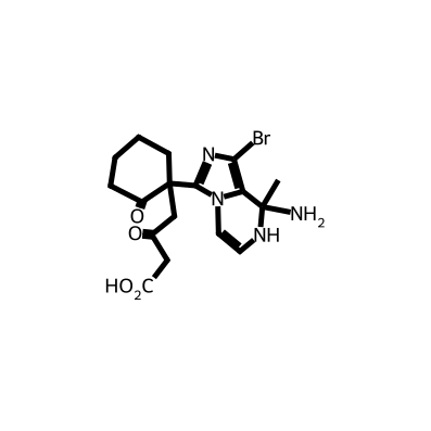 CC1(N)NC=Cn2c(C3(CC(=O)CC(=O)O)CCCCC3=O)nc(Br)c21